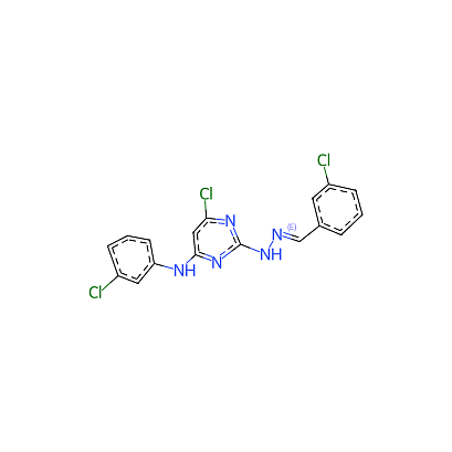 Clc1cccc(/C=N/Nc2nc(Cl)cc(Nc3cccc(Cl)c3)n2)c1